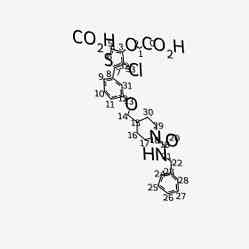 O=C(O)COc1c(C(=O)O)sc(-c2cccc(OCC3CCN(C(=O)NCc4ccccc4)CC3)c2)c1Cl